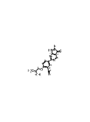 CC(C)COc1ccc(-c2ncc3c(=O)[nH][nH]c3n2)cc1C#N